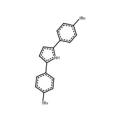 CC(C)(C)c1ccc(-c2ccc(-c3ccc(C(C)(C)C)cc3)[nH]2)cc1